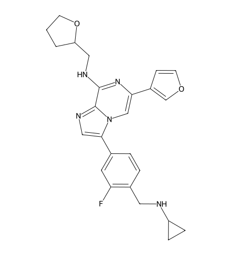 Fc1cc(-c2cnc3c(NCC4CCCO4)nc(-c4ccoc4)cn23)ccc1CNC1CC1